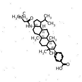 CC(C)C1CC[C@]2(NC(=O)CN(C)C)CCC3[C@H](CCC4[C@@]3(C)CCC3C(C)(C)[C@H](c5ccc(C(=O)O)cc5)CC[C@@]34C)C12